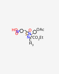 CCOC(=O)C1=C(C)N=c2s/c(=C\c3ccc([N+](=O)O)cc3)c(=O)n2C1c1ccc(OC(C)=O)cc1